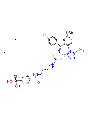 COc1ccc2c(c1)C(c1ccc(Cl)cc1)=N[C@@H](CC(=O)NCCCCNC(=O)c1ccc([Si](C)(C)O)cc1)c1nnc(C)n1-2